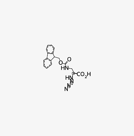 [N-]=[N+]=NN[C@@H](CNC(=O)OCC1c2ccccc2-c2ccccc21)C(=O)O